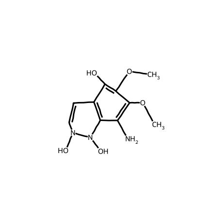 COc1c(N)c2c(c(O)c1OC)C=CN(O)N2O